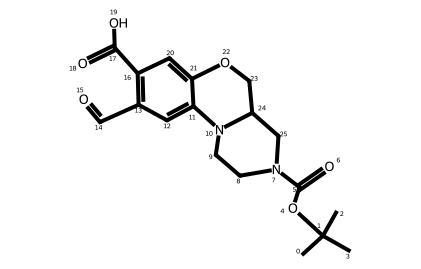 CC(C)(C)OC(=O)N1CCN2c3cc(C=O)c(C(=O)O)cc3OCC2C1